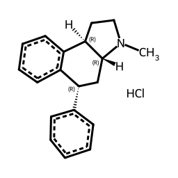 CN1CC[C@@H]2c3ccccc3[C@@H](c3ccccc3)C[C@H]21.Cl